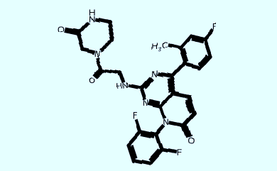 Cc1cc(F)ccc1-c1nc(NCC(=O)N2CCNC(=O)C2)nc2c1ccc(=O)n2-c1c(F)cccc1F